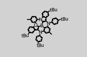 Cc1ccc(-n2c3c(c4cc(C(C)(C)C)ccc42)N(c2ccc(C(C)(C)C)cc2)c2cc(C)cc4c2B3c2oc3ccc(C(C)(C)C)cc3c2N4c2ccc(C(C)(C)C)cc2)cc1